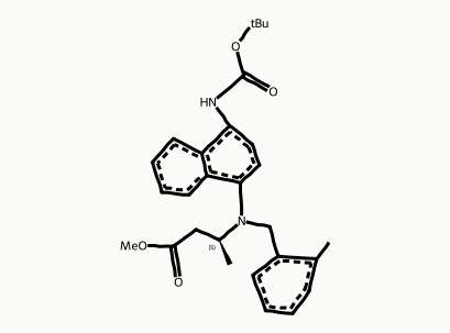 COC(=O)C[C@H](C)N(Cc1ccccc1C)c1ccc(NC(=O)OC(C)(C)C)c2ccccc12